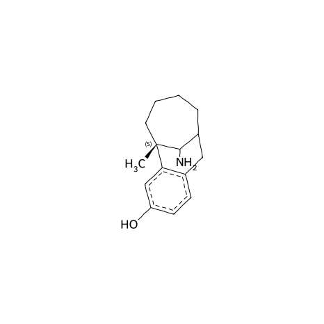 C[C@]12CCCCC(Cc3ccc(O)cc31)C2N